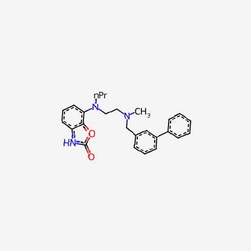 CCCN(CCN(C)Cc1cccc(-c2ccccc2)c1)c1cccc2[nH]c(=O)oc12